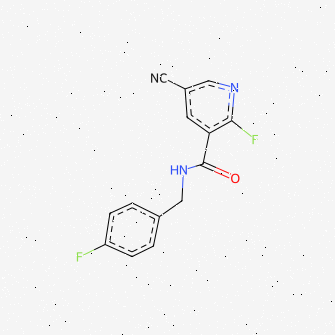 N#Cc1cnc(F)c(C(=O)NCc2ccc(F)cc2)c1